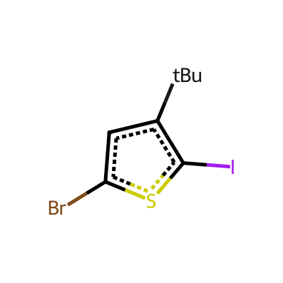 CC(C)(C)c1cc(Br)sc1I